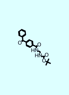 CC(C)(C)OC(=O)NCNC(=O)c1ccc(C(=O)c2ccccc2)cc1